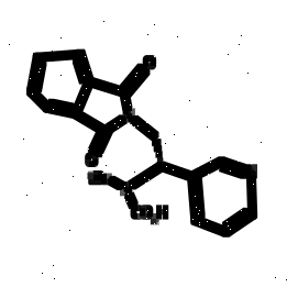 CC(C)(C)N(C(=O)O)[C@H](CN1C(=O)c2ccccc2C1=O)c1cccnc1